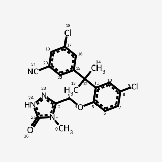 Cn1c(COc2ccc(Cl)cc2C(C)(C)c2cc(Cl)cc(C#N)c2)n[nH]c1=O